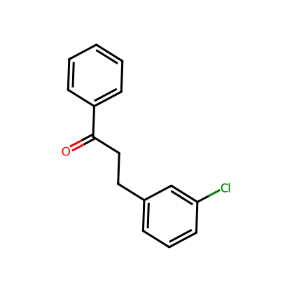 O=C(CCc1cccc(Cl)c1)c1ccccc1